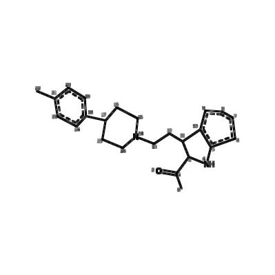 CC(=O)C1Nc2ccccc2C1CCN1CCC(c2ccc(C)cc2)CC1